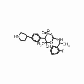 C[C@H](NC1=NS(=O)(=O)C(c2ccc(C3CCNCC3)cc2)C(C)(C)O1)c1ccccc1F